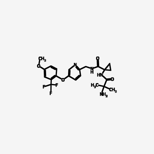 COc1ccc(Oc2ccc(CNC(=O)C3(NC(=O)C(C)(C)N)CC3)nc2)c(C(F)(F)F)c1